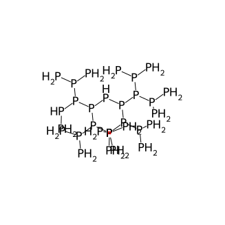 PPP(P(P)P)P(PP(P(P(P)P)P(P)P)P(P(P)P)P(P)P)P(P(P)P)P(P)P